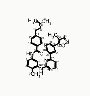 Cc1ccc(NC(=O)c2ccc(CCN(C)C)cc2)cc1Nc1nccc(-c2cncc(-c3oncc3C)c2)n1